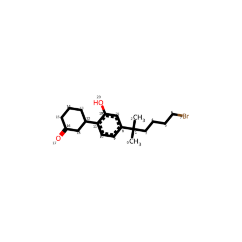 CC(C)(CCCCBr)c1ccc(C2CCCC(=O)C2)c(O)c1